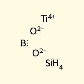 [B].[O-2].[O-2].[SiH4].[Ti+4]